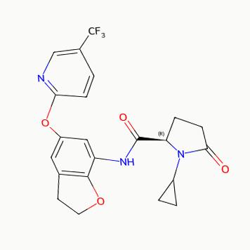 O=C(Nc1cc(Oc2ccc(C(F)(F)F)cn2)cc2c1OCC2)[C@H]1CCC(=O)N1C1CC1